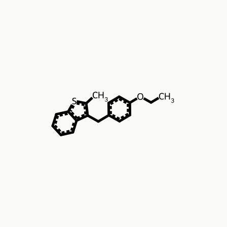 CCOc1ccc(Cc2c(C)sc3ccccc23)cc1